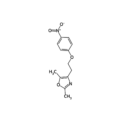 Cc1nc(CCOc2ccc([N+](=O)[O-])cc2)c(C)o1